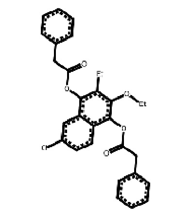 CCOc1c(CC)c(OC(=O)Cc2ccccc2)c2cc(Cl)ccc2c1OC(=O)Cc1ccccc1